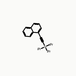 CC(C)[Si](C#Cc1cccc2ccccc12)(C(C)C)C(C)C